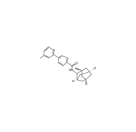 Cc1ccnc(-c2ccc(C(=O)NC3[C@H]4C[C@@H]5C[C@@H](C[C@H]3C5)C4)cc2)c1